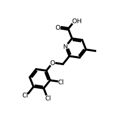 Cc1cc(COc2ccc(Cl)c(Cl)c2Cl)nc(C(=O)O)c1